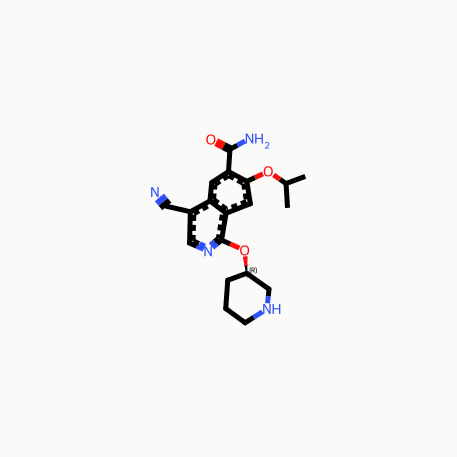 CC(C)Oc1cc2c(O[C@@H]3CCCNC3)ncc(C#N)c2cc1C(N)=O